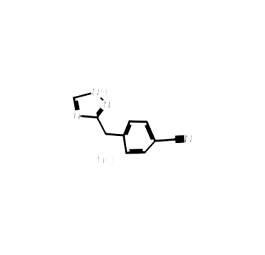 Cl.N#Cc1ccc(Cc2nc[nH]n2)cc1